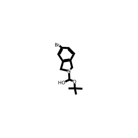 CC(C)(C)OC(O)N1Cc2ccc(Br)cc2C1